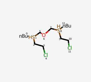 CCCC[SH](CCCl)COC[SH](CCCl)CCCC